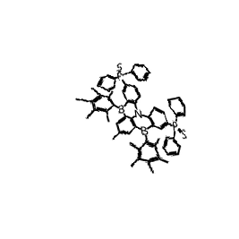 Cc1cc2c3c(c1)B(c1c(C)c(C)c(C)c(C)c1C)c1cc(P(=S)(c4ccccc4)c4ccccc4)ccc1N3c1ccc(P(=S)(c3ccccc3)c3ccccc3)cc1B2c1c(C)c(C)c(C)c(C)c1C